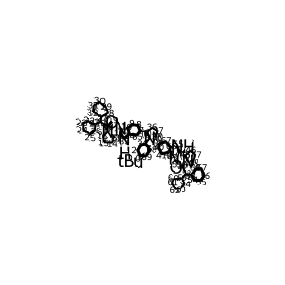 CC(C)(C)c1ccc(N2[C@@H](c3ccc4nc([C@@H]5CCCN5C(=O)C(C5=CCCC=C5)C5CCCCC5)[nH]c4c3)CC[C@@H]2c2ccc3nc([C@@H]4CCCN4C(=O)C(c4ccccc4)C4CCCCC4)[nH]c3c2)cc1